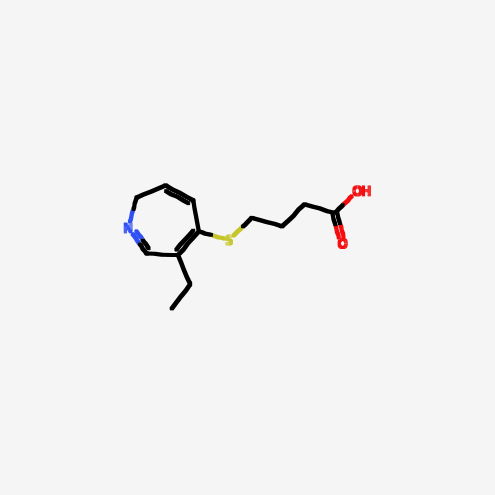 CCC1=C(SCCCC(=O)O)C=CCN=C1